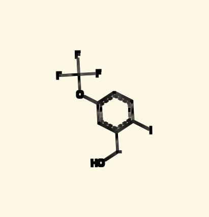 O[CH]c1cc(OC(F)(F)F)ccc1I